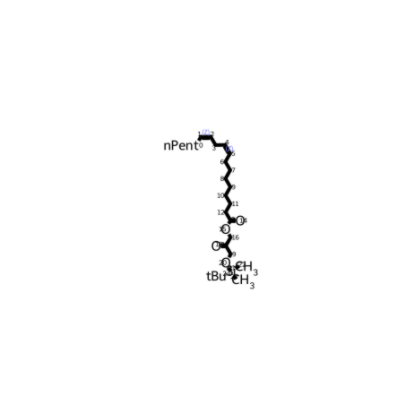 CCCCC/C=C\C/C=C\CCCCCCCC(=O)OCC(=O)CO[Si](C)(C)C(C)(C)C